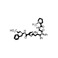 CCCN(C(=O)C(NC(=O)C1CCCCN1C)[C@@H](C)CC)[C@H](CCc1nc(C(=O)N[C@H](CCC(=O)O)Cc2ccccc2)cs1)C(C)C